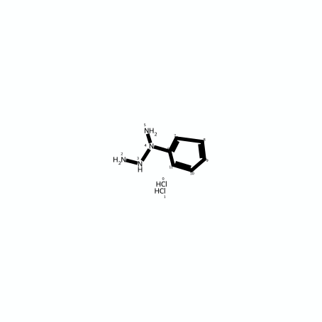 Cl.Cl.NNN(N)c1ccccc1